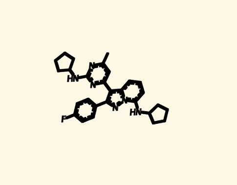 Cc1cc(-c2c(-c3ccc(F)cc3)nn3c(NC4CCCC4)cccc23)nc(NC2CCCC2)n1